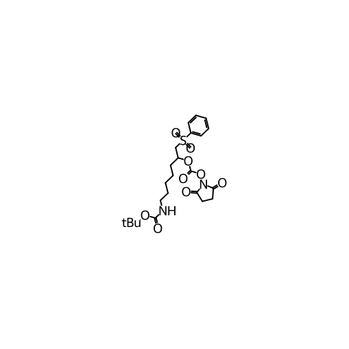 CC(C)(C)OC(=O)NCCCCCC(CS(=O)(=O)c1ccccc1)OC(=O)ON1C(=O)CCC1=O